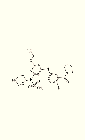 CS(=O)(=O)N(c1nc(Nc2ccc(F)c(C(=O)N3CCCC3)c2)nc(OCC(F)(F)F)n1)C1CCNCC1